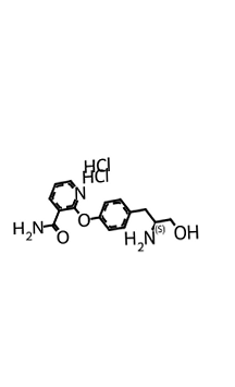 Cl.Cl.NC(=O)c1cccnc1Oc1ccc(C[C@H](N)CO)cc1